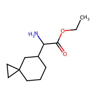 CCOC(=O)C(N)C1CCCC2(CC2)C1